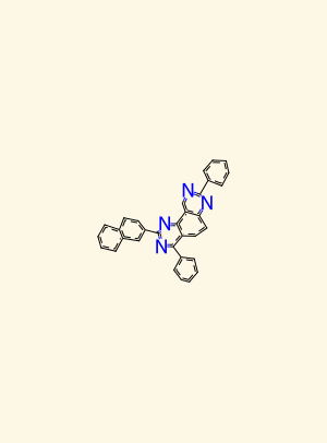 c1ccc(-c2ncc3c(ccc4c(-c5ccccc5)nc(-c5ccc6ccccc6c5)nc43)n2)cc1